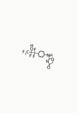 O=C1COC(Nc2ccc(C(F)(F)C(O)(F)C(F)(F)F)cc2)=N1